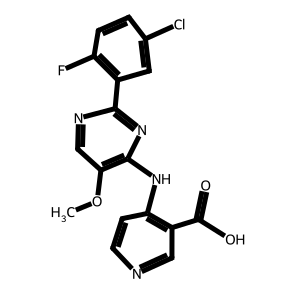 COc1cnc(-c2cc(Cl)ccc2F)nc1Nc1ccncc1C(=O)O